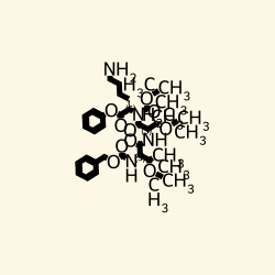 CC(OC(C)(C)C)[C@H](NC(=O)OCc1ccccc1)C(=O)N[C@H](C(=O)N(C(=O)OC(C)(C)C)[C@@H](CCCCN)C(=O)Oc1ccccc1)C(C)OC(C)(C)C